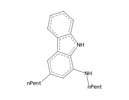 CCCCCNc1cc(CCCCC)cc2c1[nH]c1ccccc12